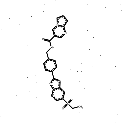 CCS(=O)(=O)c1ccc2nc(-c3ccc(CNC(=O)c4cnc5cccn5c4)cc3)oc2c1